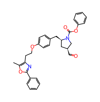 Cc1oc(-c2ccccc2)nc1CCOc1ccc(C[C@@H]2C[C@H](C=O)CN2C(=O)Oc2ccccc2)cc1